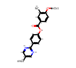 CCCCCCCCOc1ccc(C(=O)Oc2ccc(-c3ncc(CCCCCC)cn3)cc2)cc1C#N